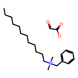 CCCCCCCCCCCC[N+](C)(C)Cc1ccccc1.O=CC(=O)[O-]